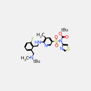 Cc1cc(S(=O)(=O)N(C(=O)OC(C)(C)C)c2cscn2)cnc1NCc1c(F)cccc1CN(C)C(C)(C)C